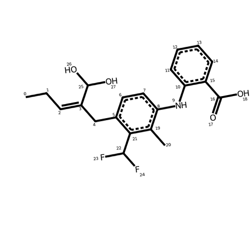 CCC=C(Cc1ccc(Nc2ccccc2C(=O)O)c(C)c1C(F)F)C(O)O